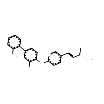 CC(=O)N[C@@H](C)/C=C/c1ccc(Oc2ccc(-c3ccccc3C#N)cc2Cl)nc1